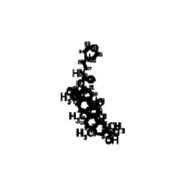 C[C@]1(C(=O)O)CC[C@]2(C)CC[C@]3(C)C(=CC(=O)[C@@H]4[C@@]5(C)CC[C@H](OC(=O)NCCN6CCOCC6)[C@@](C)(C=O)[C@@H]5CC[C@]43C)[C@@H]2C1